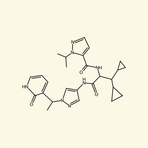 CC(c1ccc[nH]c1=O)n1cc(NC(=O)C(NC(=O)c2ccnn2C(C)C)C(C2CC2)C2CC2)cn1